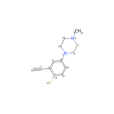 [C]#Cc1cc(N2CCN(C)CC2)ccc1F